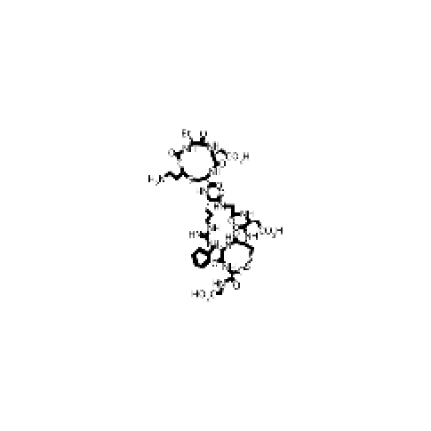 CC[C@@H]1NC(=O)CC(CCN)SC[C@@H](C(=O)N[C@@H](CCCNC(=N)N)C(=O)NCC(=O)N[C@@H](CC(=O)O)C(=O)N[C@H]2CSSC[C@@H](C(=O)NCC(=O)O)NC(=O)[C@H](Cc3ccccc3)NC2=O)NC(=O)[C@H](CC(=O)O)NC1=O